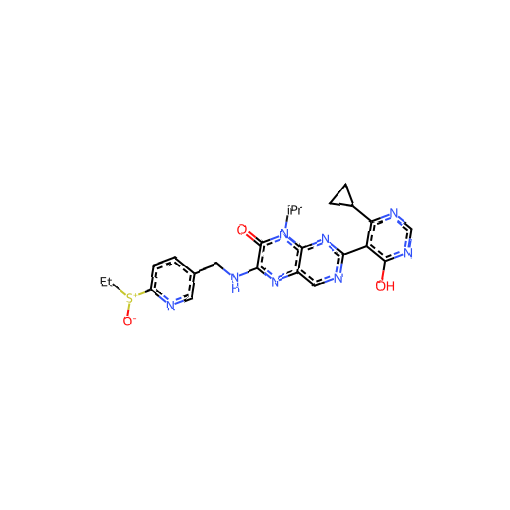 CC[S+]([O-])c1ccc(CNc2nc3cnc(-c4c(O)ncnc4C4CC4)nc3n(C(C)C)c2=O)cn1